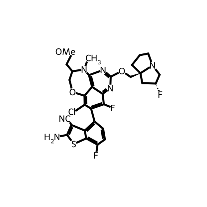 COCC1COc2c(Cl)c(-c3ccc(F)c4sc(N)c(C#N)c34)c(F)c3nc(OC[C@@]45CCCN4C[C@H](F)C5)nc(c23)N1C